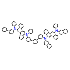 c1ccc(-c2cccc(N(c3ccccc3)c3cc4c5ccccc5c(N(c5ccccc5)c5cccc(-c6cccc(-c7cccc(N(c8ccc9ccccc9c8)c8cc9c%10ccccc%10c(N(c%10ccccc%10)c%10ccc%11ccccc%11c%10)cc9c9ccccc89)c7)c6)c5)cc4c4ccccc34)c2)cc1